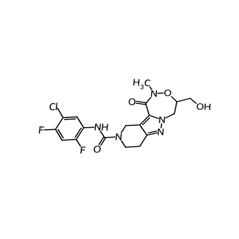 CN1OC(CO)Cn2nc3c(c2C1=O)CN(C(=O)Nc1cc(Cl)c(F)cc1F)CC3